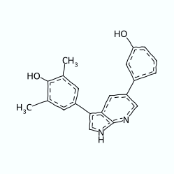 Cc1cc(-c2c[nH]c3ncc(-c4cccc(O)c4)cc23)cc(C)c1O